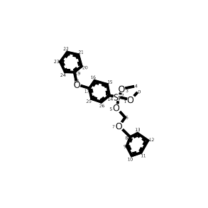 CO[Si](OC)(OCOc1ccccc1)c1ccc(Oc2ccccc2)cc1